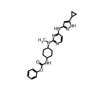 CN(c1nccc(Nc2cc(C3CC3)[nH]n2)n1)C1CCC(NC(=O)Oc2ccccc2)CC1